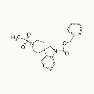 CS(=O)(=O)N1CCC2(CC1)CN(C(=O)OCc1ccccc1)c1ccccc12